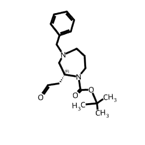 CC(C)(C)OC(=O)N1CCCN(Cc2ccccc2)C[C@H]1CC=O